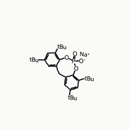 CC(C)(C)c1cc2c(c(C(C)(C)C)c1)OP(=O)([O-])Oc1c(cc(C(C)(C)C)cc1C(C)(C)C)C2.[Na+]